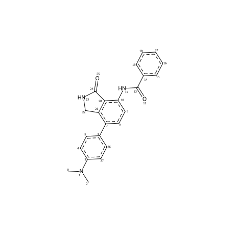 CN(C)c1ccc(-c2ccc(NC(=O)c3ccccc3)c3c2CNC3=O)cc1